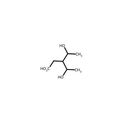 CC(O)C(CC(=O)O)C(C)O